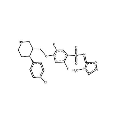 Cn1cns/c1=N/S(=O)(=O)c1cc(F)c(OC[C@H]2CNCC[C@@H]2c2ccc(Cl)cc2)cc1F